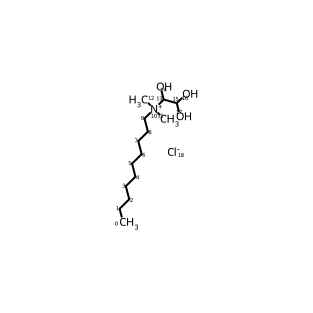 CCCCCCCCCC[N+](C)(C)C(O)C(O)O.[Cl-]